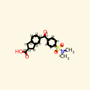 CN(C)S(=O)(=O)c1ccc(C(=O)c2ccc3c(c2)CC(C(=O)O)C3)cc1